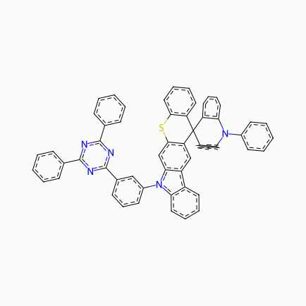 c1ccc(-c2nc(-c3ccccc3)nc(-c3cccc(-n4c5ccccc5c5cc6c(cc54)Sc4ccccc4C64c5ccccc5N(c5ccccc5)c5ccccc54)c3)n2)cc1